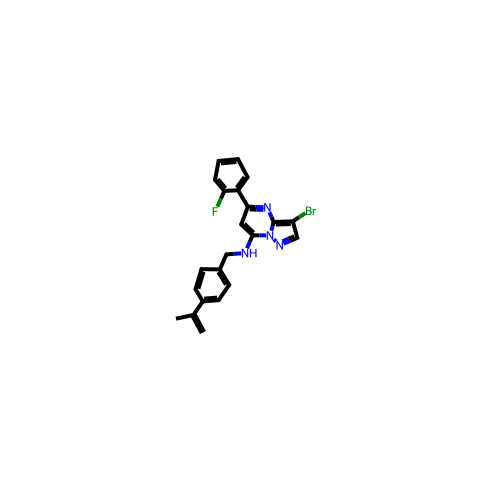 C=C(C)c1ccc(CNc2cc(-c3ccccc3F)nc3c(Br)cnn23)cc1